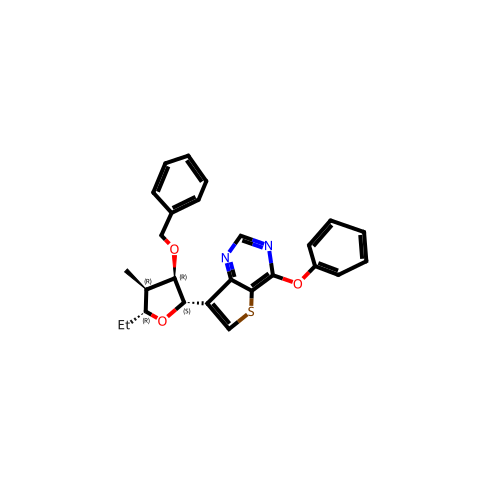 CC[C@H]1O[C@@H](c2csc3c(Oc4ccccc4)ncnc23)[C@H](OCc2ccccc2)[C@@H]1C